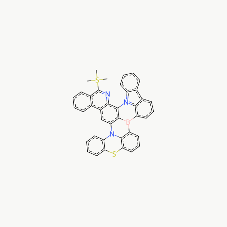 CS(C)(C)c1nc2c3c4c(cc2c2ccccc12)N1c2ccccc2Sc2cccc(c21)B4c1cccc2c4ccccc4n-3c12